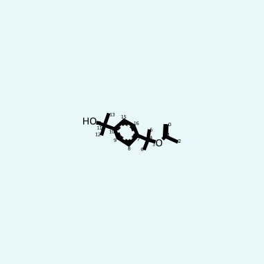 C=C(C)OC(C)(C)c1ccc(C(C)(C)O)cc1